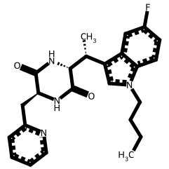 CCCCn1cc([C@@H](C)[C@H]2NC(=O)[C@H](Cc3ccccn3)NC2=O)c2cc(F)ccc21